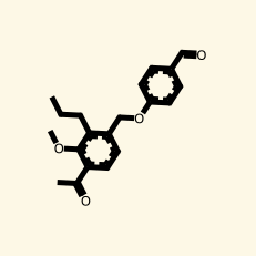 CCCc1c(COc2ccc(C=O)cc2)ccc(C(C)=O)c1OC